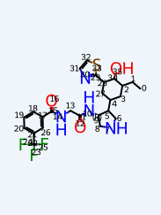 CCC1CC(C2CNC[C@@H]2NC(=O)CNC(=O)c2cccc(C(F)(F)F)c2)CC(c2nccs2)C1O